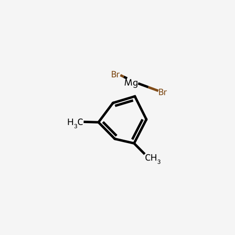 Cc1cccc(C)c1.[Br][Mg][Br]